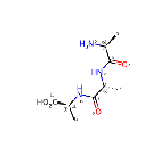 C[C@H](N)C(=O)N[C@H](C)C(=O)N[C@@H](C)C(=O)O